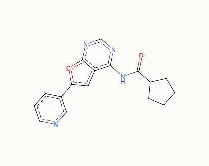 O=C(Nc1ncnc2oc(-c3cccnc3)cc12)C1CCCC1